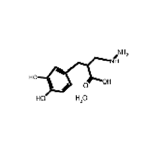 NNCC(Cc1ccc(O)c(O)c1)C(=O)O.O